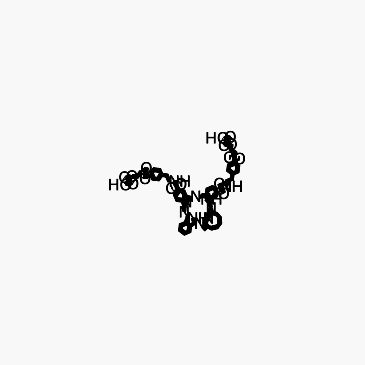 C=C1/C=C\C=C/Cc2nc1nc1[nH]c(nc3nc(nc4[nH]c(n2)c2cc(S(=O)(=O)NCCc5ccc(S(=O)(=O)CCOS(=O)(=O)O)cc5)ccc42)-c2cc(S(=O)(=O)NCCc4ccc(S(=O)(=O)CCOS(=O)(=O)O)cc4)ccc2-3)c2ccccc12